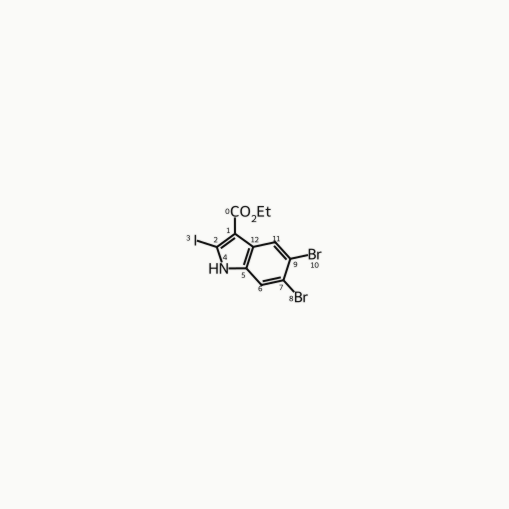 CCOC(=O)c1c(I)[nH]c2cc(Br)c(Br)cc12